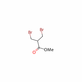 COC(=O)C(CBr)CBr